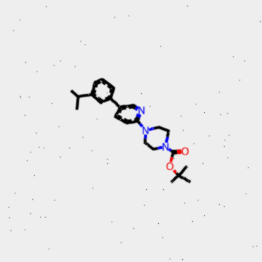 CC(C)c1cccc(-c2ccc(N3CCN(C(=O)OC(C)(C)C)CC3)nc2)c1